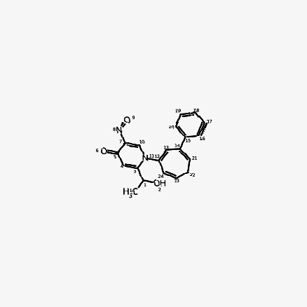 CC(O)c1cc(=O)c(N=O)cn1C1=CC(c2c#cccc2)=CCC=C1